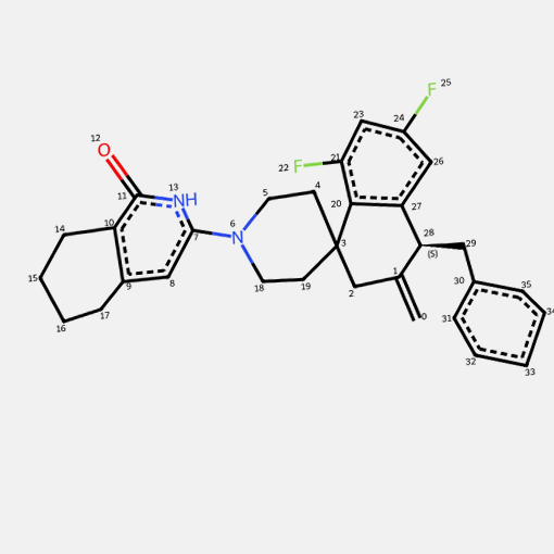 C=C1CC2(CCN(c3cc4c(c(=O)[nH]3)CCCC4)CC2)c2c(F)cc(F)cc2[C@H]1Cc1ccccc1